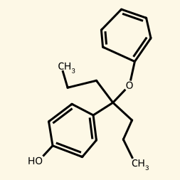 CCCC(CCC)(Oc1ccccc1)c1ccc(O)cc1